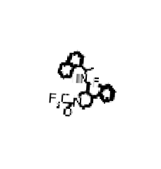 C[C@@H](NCC1CN(C(=O)C(F)(F)F)CCC1c1ccccc1F)c1cccc2ccccc12